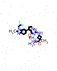 CNC(=O)C1(C)CC(Nc2nc(OC)c3c(-c4ccc5nc(C)n(CC(F)F)c5c4)ccn3n2)C1